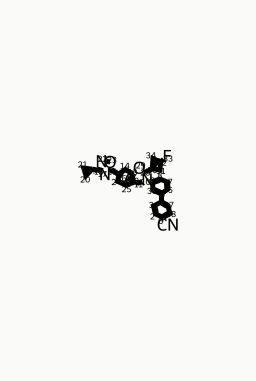 N#Cc1ccc(-c2cccc(N(CC34CCC(c5nc(C6CC6)no5)(CC3)CC4)C(=O)C34CC(F)(C3)C4)c2)cc1